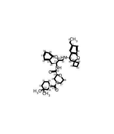 CCc1ccc2c(c1)[C@@H](NC[C@H](O)[C@H](Cc1ccccc1)NC(=O)[C@@H]1CN(C(=O)N3CCCC(C)(C)C3)CCO1)CC1(CCC1)O2